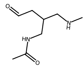 CNCC(CC=O)CNC(C)=O